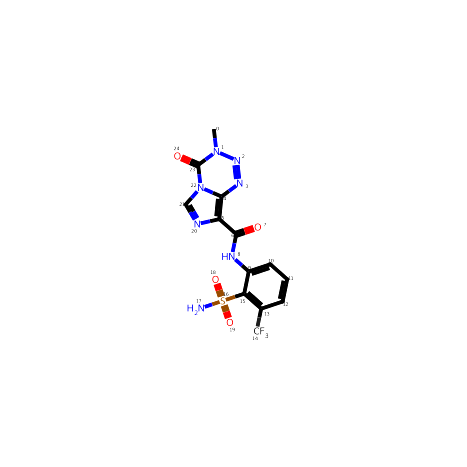 Cn1nnc2c(C(=O)Nc3cccc(C(F)(F)F)c3S(N)(=O)=O)ncn2c1=O